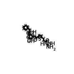 N=C(N)NC(=O)CCc1ccc(C(=O)N[C@@H](CC(=O)O)C2=COC(Cc3ccccc3)O2)s1